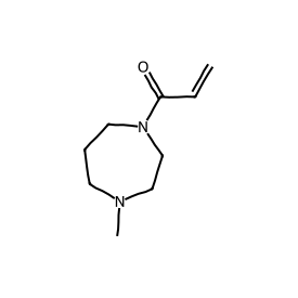 C=CC(=O)N1CCCN(C)CC1